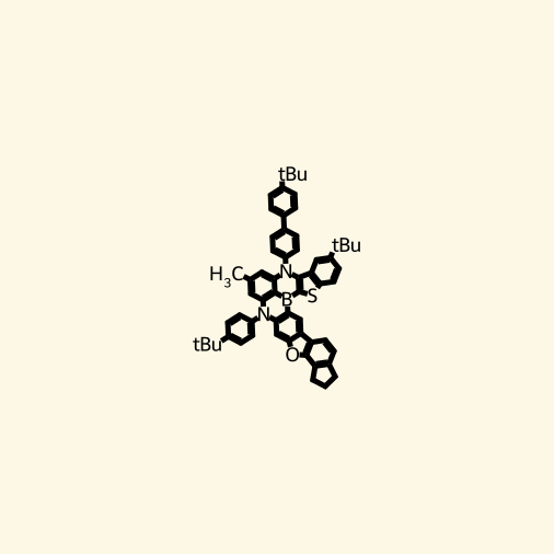 Cc1cc2c3c(c1)N(c1ccc(-c4ccc(C(C)(C)C)cc4)cc1)c1c(sc4ccc(C(C)(C)C)cc14)B3c1cc3c(cc1N2c1ccc(C(C)(C)C)cc1)oc1c2c(ccc13)CCC2